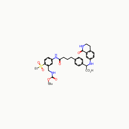 CCS(=O)(=O)c1ccc(NC(=O)CCCc2ccc(C(Nc3ccc4c(c3)C(=O)NCC4)C(=O)O)cc2)cc1CNC(=O)OC(C)(C)C